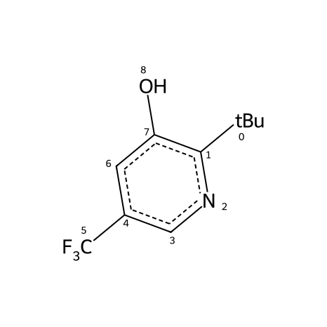 CC(C)(C)c1ncc(C(F)(F)F)cc1O